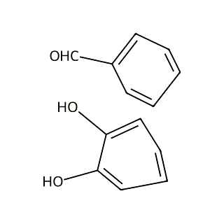 O=Cc1ccccc1.Oc1ccccc1O